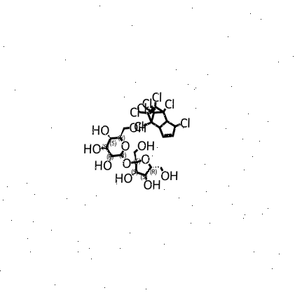 ClC1=C(Cl)C2(Cl)C3C(Cl)C=CC3C1(Cl)C2(Cl)Cl.OC[C@H]1O[C@@](CO)(O[C@H]2O[C@H](CO)[C@@H](O)[C@H](O)[C@H]2O)[C@@H](O)[C@@H]1O